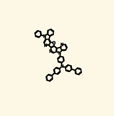 c1ccc(-c2ccc(N(c3ccc(-c4ccccc4)cc3)c3ccc(-n4c5cccnc5c5c6oc7c(ncc8c7c7ccccc7n8-c7ccccc7)c6ncc54)cc3)cc2)cc1